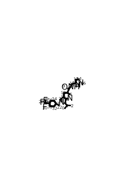 CC(C)C1c2ncc(C(=O)NCc3ccn(C)n3)cc2CN1Cc1ccc(C(F)(F)F)cc1